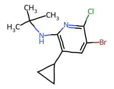 CC(C)(C)Nc1nc(Cl)c(Br)cc1C1CC1